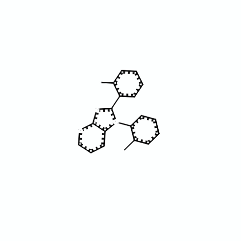 Cc1ccccc1-n1c(-c2ccccc2O)nc2ncccc21